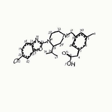 Cc1cc(CC(=O)O)cc(CN2CCN(c3nc4ccc(Cl)cc4o3)C(C(C)C)C2)c1